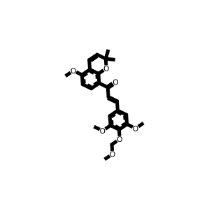 COCOc1c(OC)cc(/C=C/C(=O)c2ccc(OC)c3c2OC(C)(C)C=C3)cc1OC